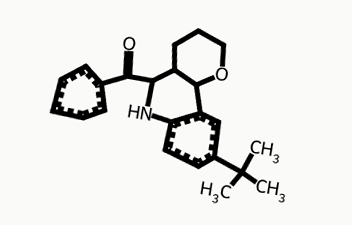 CC(C)(C)c1ccc2c(c1)C1OCCCC1C(C(=O)c1ccccc1)N2